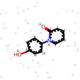 O=c1ccccn1-c1ccc(O)cc1